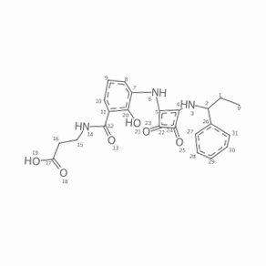 CCC(Nc1c(Nc2cccc(C(=O)NCCC(=O)O)c2O)c(=O)c1=O)c1ccccc1